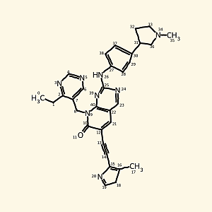 CCc1ncncc1Cn1c(=O)c(C#CC2=C(C)CC=N2)cc2cnc(Nc3ccc(C4CCN(C)C4)cc3)nc21